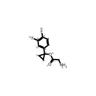 NCC(=O)OC1(c2ccc(F)c(F)c2)CC1